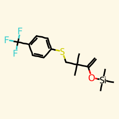 C=C(O[Si](C)(C)C)C(C)(C)CSc1ccc(C(F)(F)F)cc1